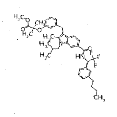 CCCCc1cccc([C@@H](NC(=O)c2ccc3c(Cc4cccc(OC(C)(C)C(=O)OC)c4)c(C)n(CC(C)C)c3c2)C(F)(F)F)c1